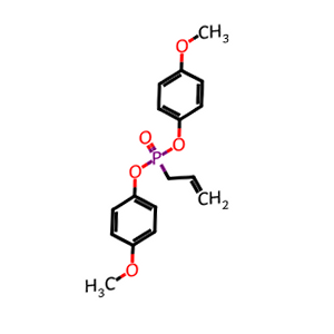 C=CCP(=O)(Oc1ccc(OC)cc1)Oc1ccc(OC)cc1